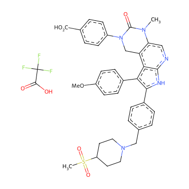 COc1ccc(-c2c(-c3ccc(CN4CCC(S(C)(=O)=O)CC4)cc3)[nH]c3ncc4c(c23)CN(c2ccc(C(=O)O)cc2)C(=O)N4C)cc1.O=C(O)C(F)(F)F